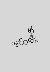 CCc1ccc([C@H](COc2ccc(CC3SC(=O)CC3=O)cc2)OC(=O)C(C)(C)C)cn1